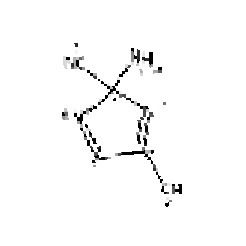 N#CC1=NC(N)(C#N)N=C1